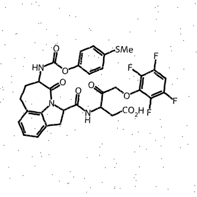 CSc1ccc(OC(=O)NC2CCc3cccc4c3N(C2=O)C(C(=O)NC(CC(=O)O)C(=O)COc2c(F)c(F)cc(F)c2F)C4)cc1